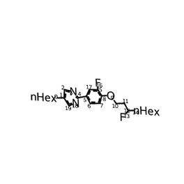 CCCCCCc1cnc(-c2ccc(OCCC(F)CCCCCC)c(F)c2)nc1